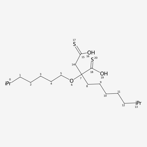 CC(C)CCCCCOC(CCCCCC(C)C)(CC(O)=S)C(O)=S